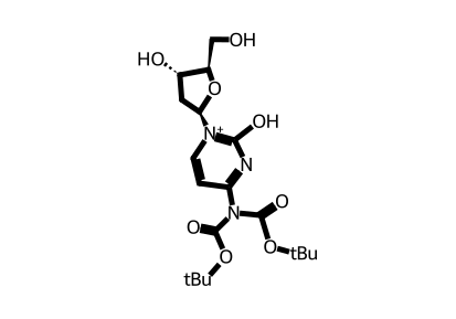 CC(C)(C)OC(=O)N(C(=O)OC(C)(C)C)c1cc[n+]([C@H]2C[C@H](O)[C@@H](CO)O2)c(O)n1